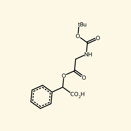 CC(C)(C)OC(=O)NCC(=O)OC(C(=O)O)c1ccccc1